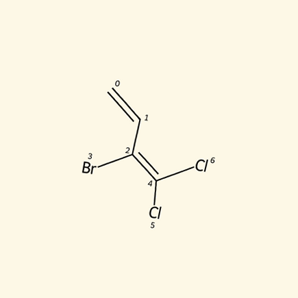 C=CC(Br)=C(Cl)Cl